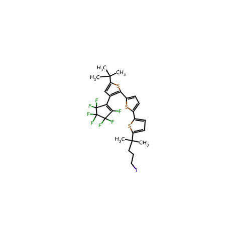 CC(C)(C)c1cc(C2=C(F)C(F)(F)C(F)(F)C2(F)F)c(-c2ccc(-c3ccc(C(C)(C)CCCI)s3)s2)s1